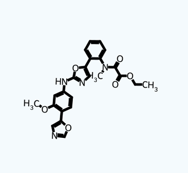 CCOC(=O)C(=O)N(C)c1ccccc1-c1cnc(Nc2ccc(-c3cnco3)c(OC)c2)o1